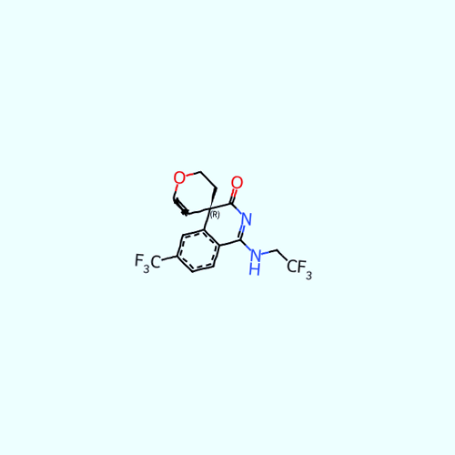 O=C1N=C(NCC(F)(F)F)c2ccc(C(F)(F)F)cc2[C@@]12CCOc1ccccc12